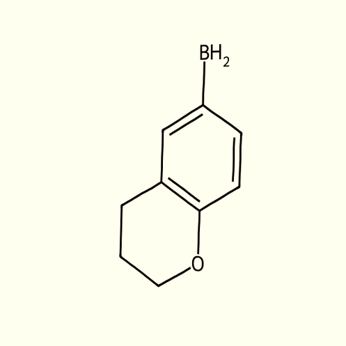 Bc1ccc2c(c1)CCCO2